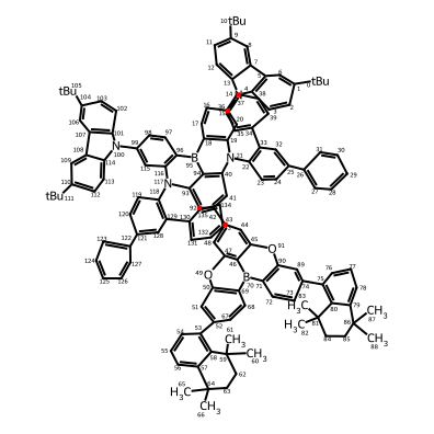 CC(C)(C)c1ccc2c(c1)c1cc(C(C)(C)C)ccc1n2-c1ccc2c(c1)N(c1ccc(-c3ccccc3)cc1-c1ccccc1)c1cc(-c3cc4c5c(c3)Oc3cc(-c6cccc7c6C(C)(C)CCC7(C)C)ccc3B5c3ccc(-c5cccc6c5C(C)(C)CCC6(C)C)cc3O4)cc3c1B2c1ccc(-n2c4ccc(C(C)(C)C)cc4c4cc(C(C)(C)C)ccc42)cc1N3c1ccc(-c2ccccc2)cc1-c1ccccc1